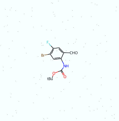 CC(C)(C)OC(=O)Nc1cc(Br)c(F)cc1C=O